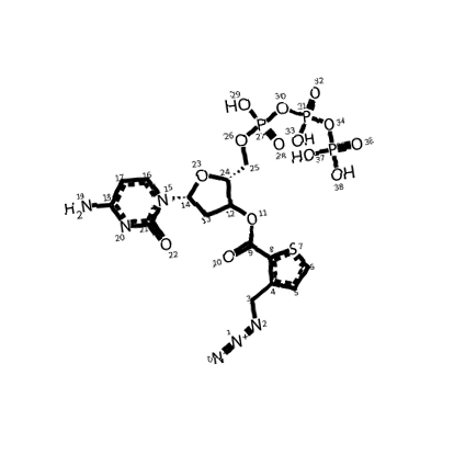 [N-]=[N+]=NCc1ccsc1C(=O)OC1C[C@H](n2ccc(N)nc2=O)O[C@@H]1COP(=O)(O)OP(=O)(O)OP(=O)(O)O